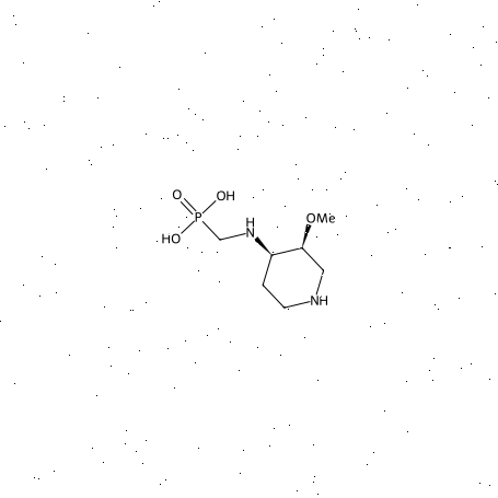 CO[C@H]1CNCC[C@H]1NCP(=O)(O)O